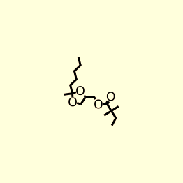 CCCCCC1(C)OCC(COC(=O)C(C)(C)CC)O1